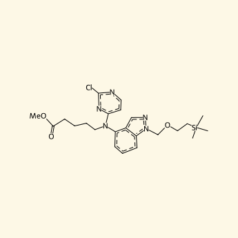 COC(=O)CCCCN(c1ccnc(Cl)n1)c1cccc2c1cnn2COCC[Si](C)(C)C